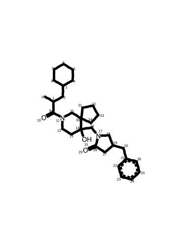 CC(CC1CCCCC1)C(=O)N1CCC(O)(CN2CC(Cc3ccccc3)CC2=O)C2(CCCC2)C1